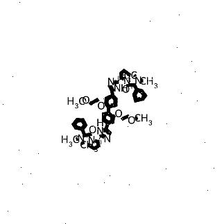 COCCOc1cc(-c2cnc([C@@H]3CCCN3C(=O)[C@@H](c3ccccc3)N(C)C)[nH]2)ccc1-c1ccc(-c2cnc([C@@H]3CCCN3C(=O)[C@@H](c3ccccc3)N(C)C)[nH]2)cc1OCCOC